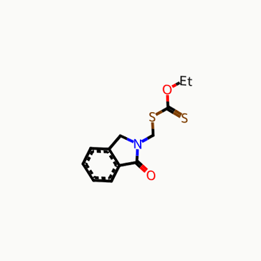 CCOC(=S)SCN1Cc2ccccc2C1=O